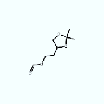 CC1(C)OCC(CCOC=O)O1